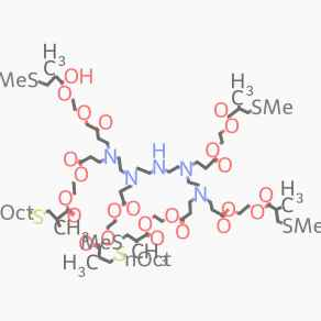 CCCCCCCCSCC(C)C(=O)OCCOC(=O)CCN(CCNCCN(CCC(=O)OCCOC(=O)C(C)CSC)CCN(CCC(=O)OCCOC(=O)C(C)CSC)CCC(=O)OCCOC(=O)C(C)CSC)CCN(CCC(=O)COCCOC(O)C(C)CSC)CCC(=O)OCCOC(=O)C(C)CSCCCCCCCC